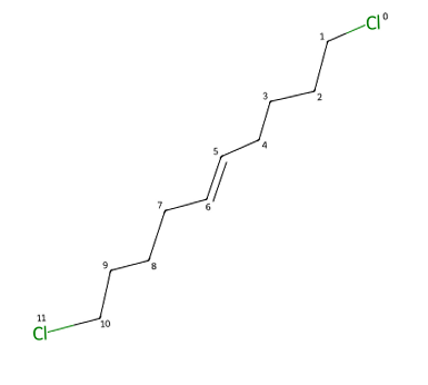 ClCCCCC=CCCCCCl